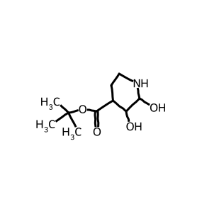 CC(C)(C)OC(=O)C1CCNC(O)C1O